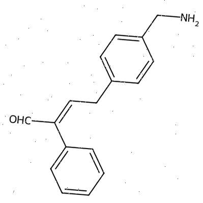 NCc1ccc(CC=C(C=O)c2ccccc2)cc1